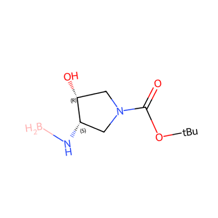 BN[C@H]1CN(C(=O)OC(C)(C)C)C[C@H]1O